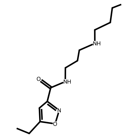 CCCCNCCCNC(=O)c1cc(CC)on1